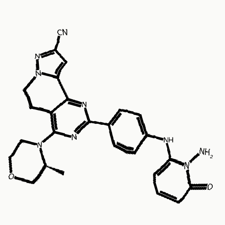 C[C@H]1COCCN1c1nc(-c2ccc(Nc3cccc(=O)n3N)cc2)nc2c1CCn1nc(C#N)cc1-2